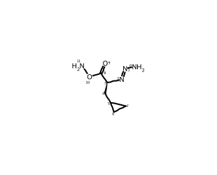 NN=N[C@@H](CC1CC1)C(=O)ON